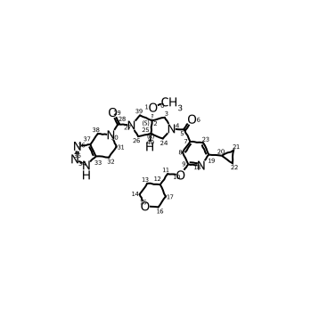 CO[C@]12CN(C(=O)c3cc(OCC4CCOCC4)nc(C4CC4)c3)C[C@@H]1CN(C(=O)N1CCc3[nH]nnc3C1)C2